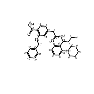 CCCC(NC(=O)Cc1ccc(C(=O)O)c(OCc2ccccc2)c1)c1ccccc1N1CCCCC1